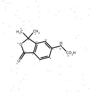 CC1(C)OC(=O)c2ccc(NC(=O)O)cc21